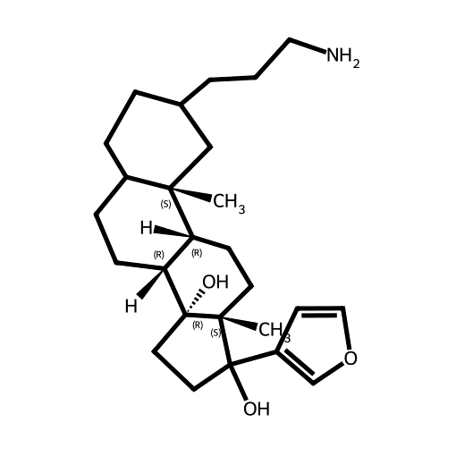 C[C@]12CC(CCCN)CCC1CC[C@@H]1[C@H]2CC[C@]2(C)C(O)(c3ccoc3)CC[C@@]12O